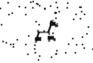 [CH2]CCO.[SiH4]